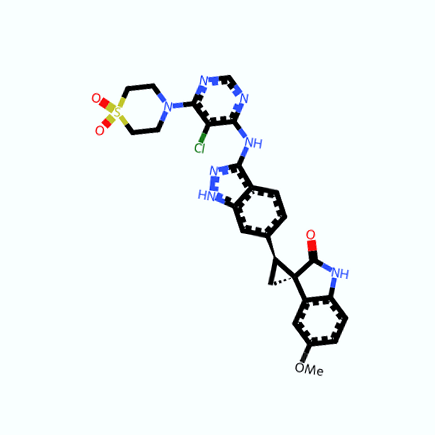 COc1ccc2c(c1)[C@]1(C[C@H]1c1ccc3c(Nc4ncnc(N5CCS(=O)(=O)CC5)c4Cl)n[nH]c3c1)C(=O)N2